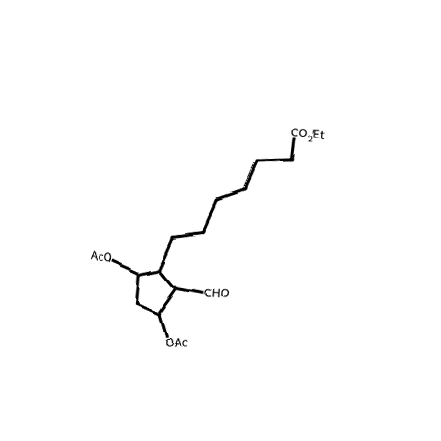 CCOC(=O)CCCCCCC1C(OC(C)=O)CC(OC(C)=O)C1C=O